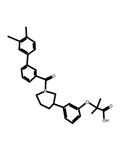 Cc1ccc(-c2cccc(C(=O)N3CCCC(c4cccc(OC(C)(C)C(=O)O)c4)C3)c2)cc1C